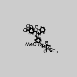 COc1cc(CN(CC2CCCCC2)[C@@H](CC(=O)O)c2ccc(Cl)c(Cl)c2)ccc1OCCN1C(=O)CN(C)C1=O